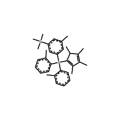 CC1=C(C)C(C)C([Si](c2cc(C)cc([Si](C)(C)C)c2)(c2ccccc2C)c2ccccc2C)=C1C